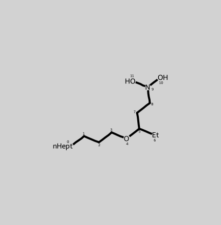 CCCCCCCCCCOC(CC)CCN(O)O